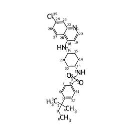 CCC(C)(C)c1ccc(S(=O)(=O)N[C@H]2CC[C@@H](Nc3ccnc4cc(Cl)ccc34)CC2)cc1